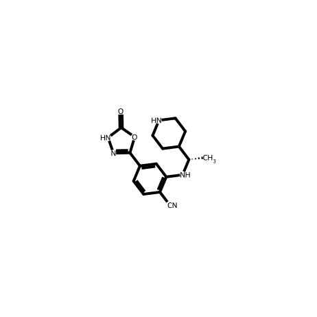 C[C@H](Nc1cc(-c2n[nH]c(=O)o2)ccc1C#N)C1CCNCC1